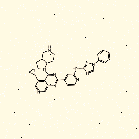 c1ccc(-n2cnc(Nc3cc(-c4nc(N5CCC6CNCCC65)c5c(C6CC6)cncc5n4)ccn3)n2)cc1